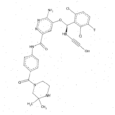 CC1(C)CN(C(=O)c2ccc(NC(=O)c3cc(O[C@H](BC#CO)c4c(Cl)ccc(F)c4Cl)c(N)nn3)cc2)CCN1